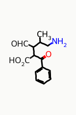 CC(CN)C(C=O)C(C(=O)O)C(=O)c1ccccc1